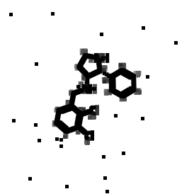 Clc1cccc(CN[C@@H]2CCN[C@@H]2c2ccccc2)c1Cl